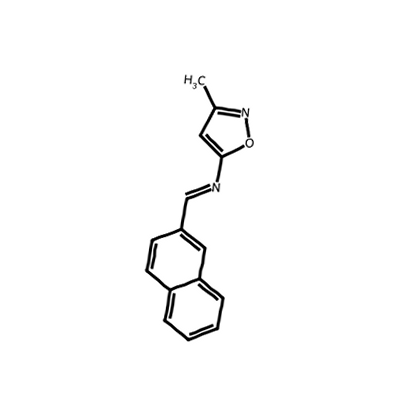 Cc1cc(N=Cc2ccc3ccccc3c2)on1